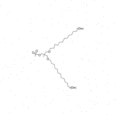 CCCCCCCCCCCCCCCCCCCCCCOCC(C)(COCCCCCCCCCCCCCCCCCCCCCC)COS(C)(=O)=O